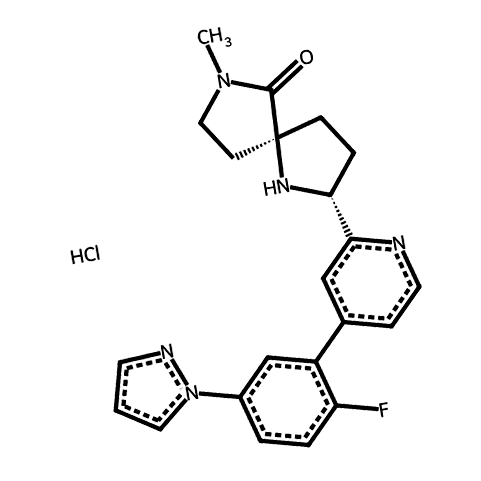 CN1CC[C@@]2(CC[C@H](c3cc(-c4cc(-n5cccn5)ccc4F)ccn3)N2)C1=O.Cl